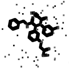 C#CC(=O)N(c1cccc(Cl)c1)C(C(=O)NCc1ccccc1)c1cccc(OCC(=O)OC)c1